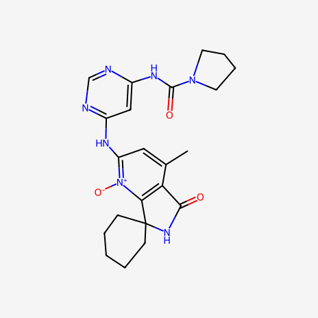 Cc1cc(Nc2cc(NC(=O)N3CCCC3)ncn2)[n+]([O-])c2c1C(=O)NC21CCCCC1